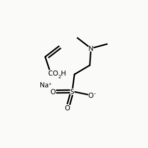 C=CC(=O)O.CN(C)CCS(=O)(=O)[O-].[Na+]